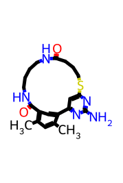 Cc1cc(C)c2cc1C(=O)NCCCCNC(=O)CCCSc1cc-2nc(N)n1